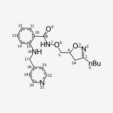 CCCCC1=NOC(CONC(=O)c2ccccc2NCc2ccncc2)C1